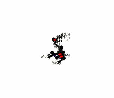 COS(=O)(=O)CCCN1/C(=C/C=C2\CCCC(/C=C/C3=[N+](CCCS(=O)(=O)OC)c4ccccc4C3(C)C)=C2Oc2ccc(S(=O)(=O)OC)cc2)C(C)(CCCC(=O)N[C@@H](Cc2ccccc2)C(=O)N[C@@H](Cc2ccccc2)C(=O)NCC(=O)NCCNC(=O)[C@H](Cc2ccccc2)NC(=O)CC[C@H](NC(=O)N[C@@H](CCC(=O)O)C(=O)O)C(=O)O)c2ccccc21